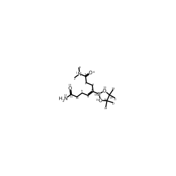 CN(C)C(=O)CCC(=CCCC(N)=O)B1OC(C)(C)C(C)(C)O1